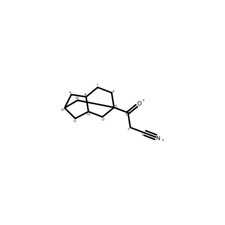 N#CCC(=O)C12CCC3CC(CC3C1)C2